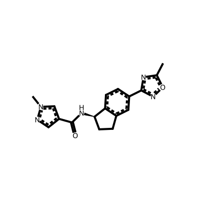 Cc1nc(-c2ccc3c(c2)CC[C@H]3NC(=O)c2cnn(C)c2)no1